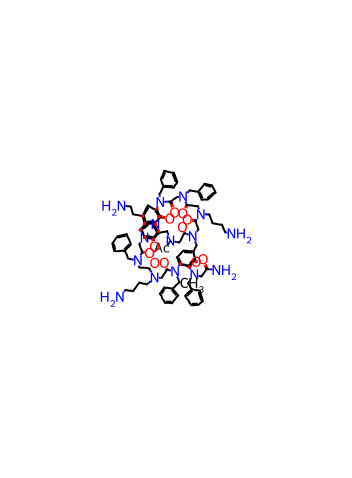 CC(=O)N(CC(=O)N(CC(=O)N(CCCCN)CC(=O)N(CC(=O)N(CC(=O)N(CCCCN)CC(=O)N(CC(=O)N(CC(=O)N(CCCCN)CC(=O)N(CC(=O)N(CC(N)=O)Cc1ccccc1)[C@@H](C)c1ccccc1)Cc1ccccc1)Cc1ccccc1)Cc1ccccc1)Cc1ccccc1)Cc1ccccc1)Cc1ccccc1